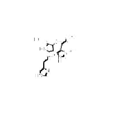 O=C(O)[C@H]1NCCC1O.O=C([O-])C=Cc1c[nH]cn1.O=C([O-])C=Cc1c[nH]cn1.[Se+2]